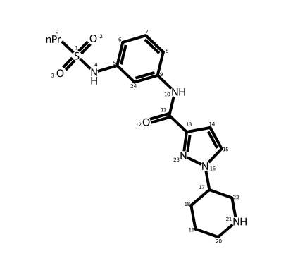 CCCS(=O)(=O)Nc1cccc(NC(=O)c2ccn(C3CCCNC3)n2)c1